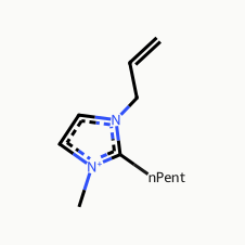 C=CCn1cc[n+](C)c1CCCCC